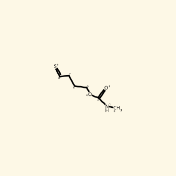 CNC(=O)OCCCC=S